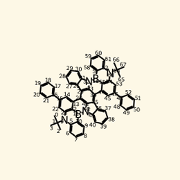 CC(C)(C)N1c2ccccc2B2c3c(cc(-c4ccccc4)cc31)-c1c3c4ccccc4n4c3c(c3c5ccccc5n2c13)-c1cc(-c2ccccc2)cc2c1B4c1ccccc1N2C(C)(C)C